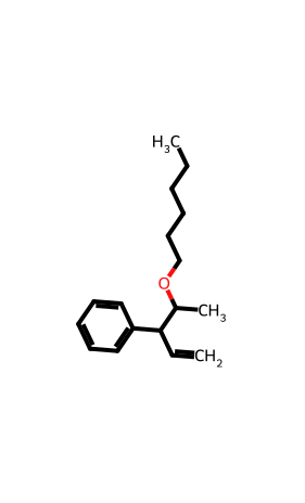 C=CC(c1ccccc1)C(C)OCCCCCC